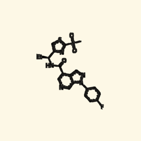 CC[C@H](NC(=O)c1cncc2c1cnn2-c1ccc(F)cc1)c1csc(S(C)(=O)=O)n1